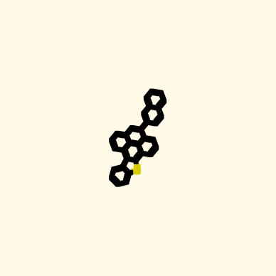 c1ccc2cc(-c3cc4cccc5c6c7ccccc7sc6c6cccc3c6c45)ccc2c1